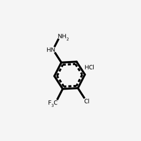 Cl.NNc1ccc(Cl)c(C(F)(F)F)c1